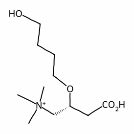 C[N+](C)(C)C[C@@H](CC(=O)O)OCCCCO